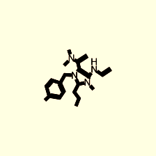 C=CNC1=C(C(=C)N(C)C)N(Cc2ccc(C)cc2)C(CCC)N1C